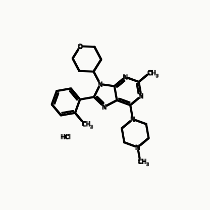 Cc1nc(N2CCN(C)CC2)c2nc(-c3ccccc3C)n(C3CCOCC3)c2n1.Cl